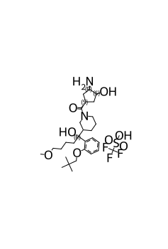 COCCCC[C@](O)(c1ccccc1OCC(C)(C)C)C1CCCN(C(=O)[C@H]2C[C@@H](N)[C@@H](O)C2)C1.O=S(=O)(O)C(F)(F)F